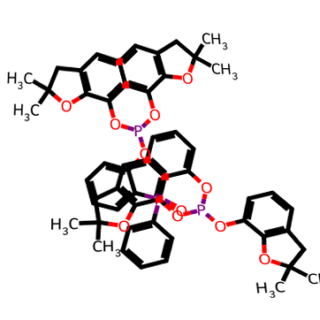 CC1(C)Cc2cccc(OP(Oc3ccccc3P(=O)(c3ccccc3)c3ccccc3OP(Oc3cccc4c3OC(C)(C)C4)Oc3cccc4c3OC(C)(C)C4)Oc3cccc4c3OC(C)(C)C4)c2O1